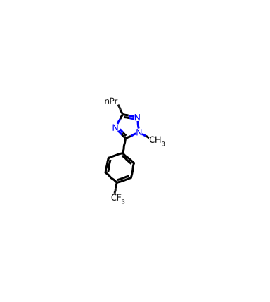 CCCc1nc(-c2ccc(C(F)(F)F)cc2)n(C)n1